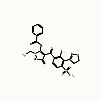 CCn1[nH]c(=O)c(C(=O)c2ccc(S(C)(=O)=O)c(C3=NOCC3)c2C)c1CC(=O)c1ccccc1